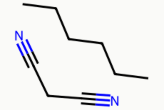 CCCCCC.N#CCC#N